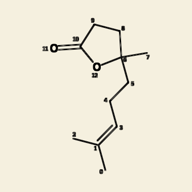 CC(C)=CCCC1(C)CCC(=O)O1